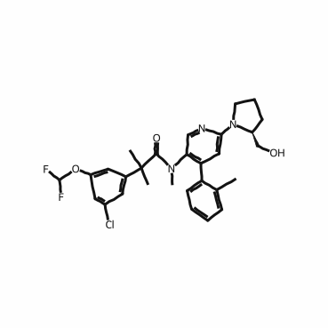 Cc1ccccc1-c1cc(N2CCC[C@H]2CO)ncc1N(C)C(=O)C(C)(C)c1cc(Cl)cc(OC(F)F)c1